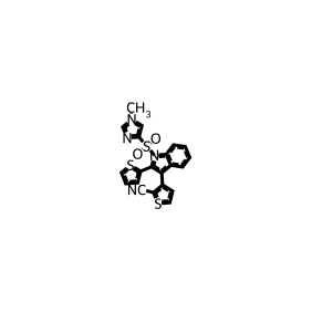 Cn1cnc(S(=O)(=O)n2c(-c3cccs3)c(-c3ccsc3C#N)c3ccccc32)c1